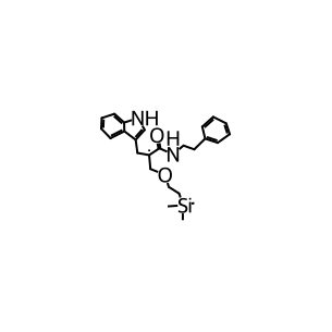 C[Si](C)(C)CCOC[C](Cc1c[nH]c2ccccc12)C(=O)NCCc1ccccc1